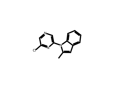 Cc1cc2ccccc2n1-c1cncc(Cl)n1